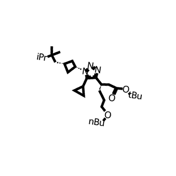 CCCCOCCC[C@@H](CC(=O)OC(C)(C)C)c1nnn([C@H]2C[C@@H](CC(C)(C)C(C)C)C2)c1C1CC1